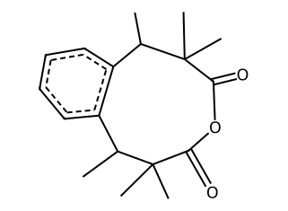 CC1c2ccccc2C(C)C(C)(C)C(=O)OC(=O)C1(C)C